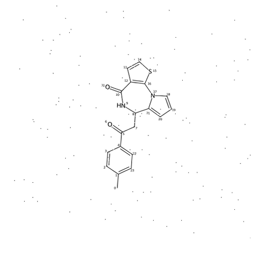 Cc1ccc(C(=O)CC2NC(=O)c3ccsc3-n3cccc32)cc1